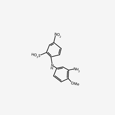 COc1ccc(Nc2ccc([N+](=O)[O-])cc2S(=O)(=O)O)cc1N